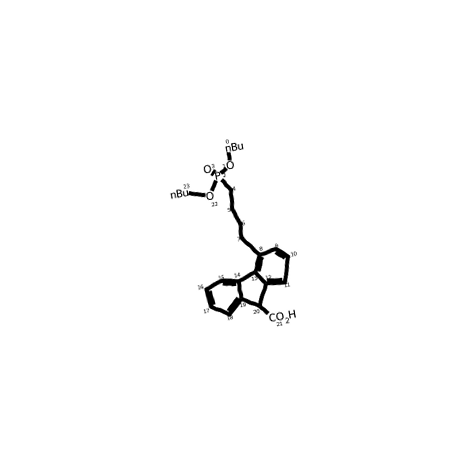 CCCCOP(=O)(CCCCc1cccc2c1-c1ccccc1C2C(=O)O)OCCCC